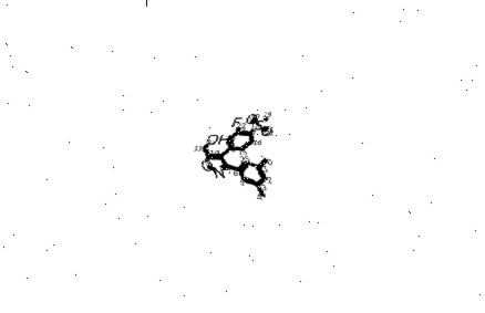 Cc1cc(C)cc(-c2noc(CO)c2-c2ccc(S(C)(=O)=O)c(F)c2)c1